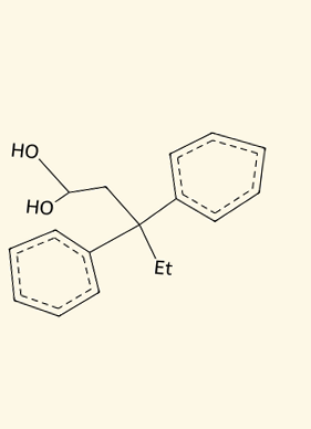 CCC(CC(O)O)(c1ccccc1)c1ccccc1